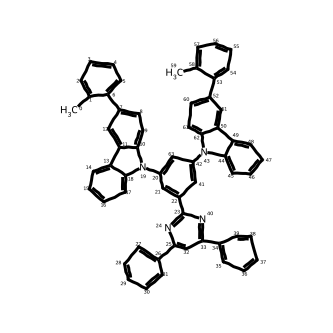 Cc1ccccc1-c1ccc2c(c1)c1ccccc1n2-c1cc(-c2nc(-c3ccccc3)cc(-c3ccccc3)n2)cc(-n2c3ccccc3c3cc(-c4ccccc4C)ccc32)c1